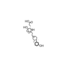 C[C@H]1CN(CCC(=O)N[C@@H](CCC(=O)O)C(=O)O)CC[C@@]1(C)c1cccc(O)c1